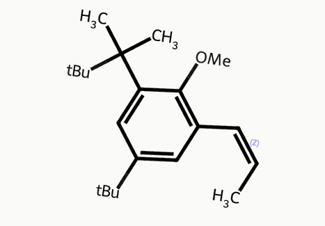 C/C=C\c1cc(C(C)(C)C)cc(C(C)(C)C(C)(C)C)c1OC